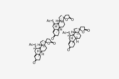 CC(=O)S[C@@H]1CC2=CC(=O)CC[C@]2(C)[C@H]2CC[C@@]3(C)[C@@H](CC[C@@]34CCC(=O)O4)[C@H]12.CC(=O)S[C@@H]1CC2=CC(=O)CC[C@]2(C)[C@H]2CC[C@@]3(C)[C@@H](CC[C@@]34CCC(=O)O4)[C@H]12.CC(=O)S[C@@H]1CC2=CC(=O)CC[C@]2(C)[C@H]2CC[C@@]3(C)[C@@H](CC[C@@]34CCC(=O)O4)[C@H]12